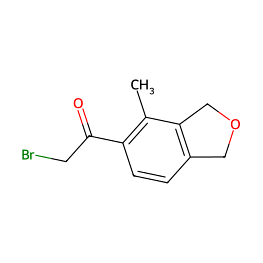 Cc1c(C(=O)CBr)ccc2c1COC2